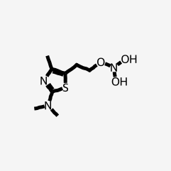 Cc1nc(N(C)C)sc1CCON(O)O